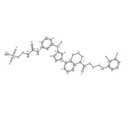 Cc1cccc(OCCCC(=O)N2CCCc3c(-c4cnn(C(C)c5cccc(NC(=O)NCCS(=O)(=O)O)c5)c4)cccc32)c1C